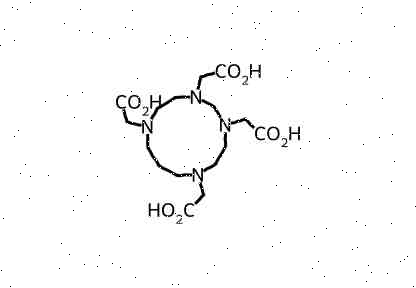 O=C(O)CN1CCCN(CC(=O)O)CCN(CC(=O)O)CN(CC(=O)O)CC1